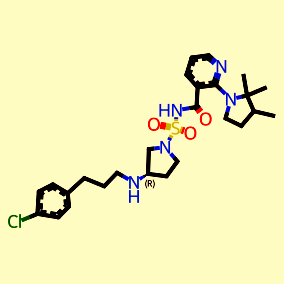 CC1CCN(c2ncccc2C(=O)NS(=O)(=O)N2CC[C@@H](NCCCc3ccc(Cl)cc3)C2)C1(C)C